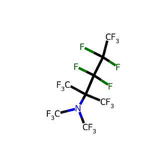 FC(F)(F)N(C(F)(F)F)C(C(F)(F)F)(C(F)(F)F)C(F)(F)C(F)(F)C(F)(F)F